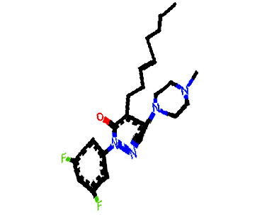 CCCCCCCCc1c(N2CCN(C)CC2)cnn(-c2cc(F)cc(F)c2)c1=O